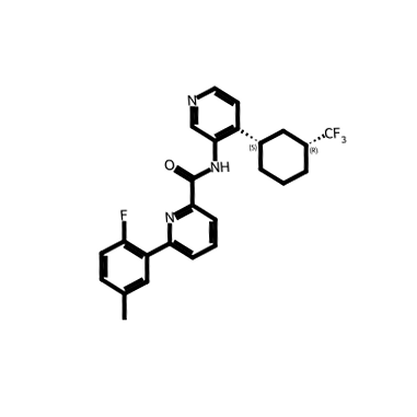 Cc1ccc(F)c(-c2cccc(C(=O)Nc3cnccc3[C@H]3CCC[C@@H](C(F)(F)F)C3)n2)c1